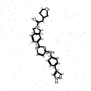 O=C(CC1CCOC1)N1Cc2ccc(-c3nccc(Nc4ccc(-c5cn[nH]c5)cc4)n3)cc2C1